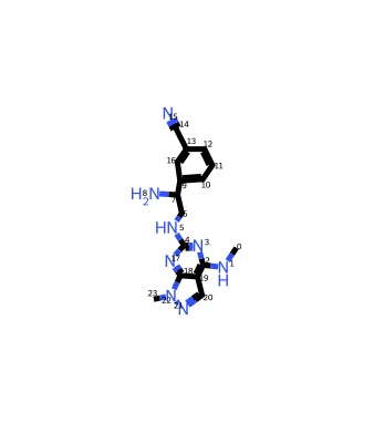 CNc1nc(NCC(N)c2cccc(C#N)c2)nc2c1cnn2C